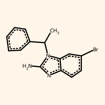 CC(c1ccccc1)n1c(N)nc2ccc(Br)cc21